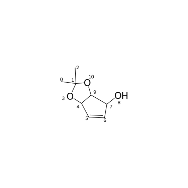 CC1(C)OC2C=CC(O)C2O1